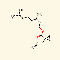 C=CCC1(C(=O)OCCC(C)CCC=C(C)C)CC1